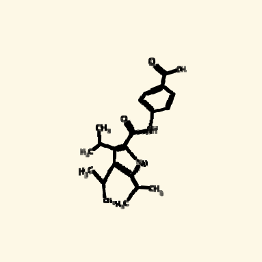 CC(C)c1[nH]c(C(=O)Nc2ccc(C(=O)O)cc2)c(C(C)C)c1C(C)C